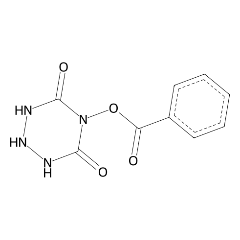 O=C(ON1C(=O)NNNC1=O)c1ccccc1